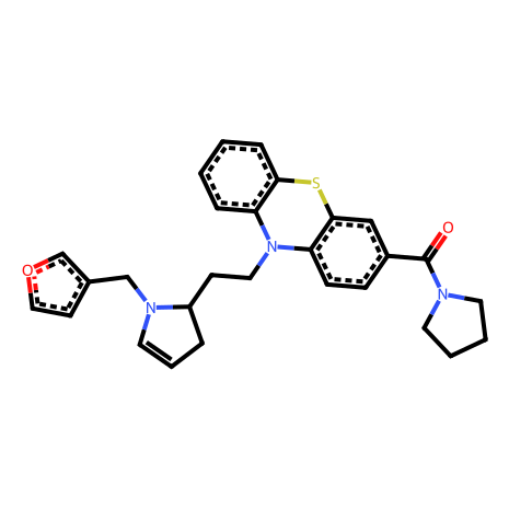 O=C(c1ccc2c(c1)Sc1ccccc1N2CCC1CC=CN1Cc1ccoc1)N1CCCC1